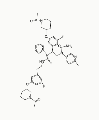 CC(=O)N1CCCC(Oc2cc(F)cc(CCNC(=O)N(c3cccnc3)C(CN(C(N)=O)c3ccc(C)nc3)c3cc(F)cc(OC4CCCN(C(C)=O)C4)c3)c2)C1